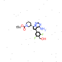 CC(C)(C)OC(=O)N1CCC[C@H](c2cc(-c3cc(F)c(CO)c(F)c3)c3c(N)ncnn23)C1